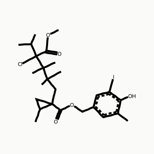 COC(=O)C(Cl)(C(C)C)C(C)(C)C(C)(C)CC1(C(=O)OCc2cc(C)c(O)c(I)c2)CC1C